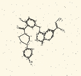 CC(=CC(F)(F)F)c1ccc2c(=O)[nH]nc(Cc3ccc(F)c(C(=O)N4CCN(c5ccc(C#N)cn5)CC4)c3)c2c1